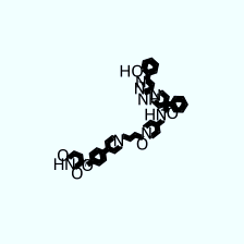 Nc1nnc(-c2ccccc2O)cc1N1CCC(C(=O)NCC2CCN(C(=O)CCCN3CCC(c4ccc(O[C@@H]5CCC(=O)NC5=O)cc4)CC3)CC2)(c2ccccc2)CC1